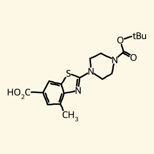 Cc1cc(C(=O)O)cc2sc(N3CCN(C(=O)OC(C)(C)C)CC3)nc12